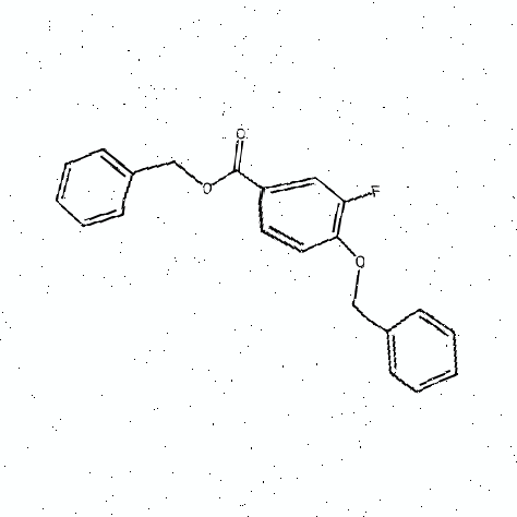 O=C(OCc1ccccc1)c1ccc(OCc2ccccc2)c(F)c1